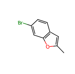 Cc1cc2ccc(Br)cc2o1